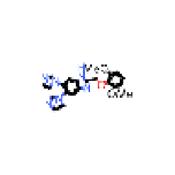 COc1cccc(OC)c1OCc1nc2cc(-n3ccnc3)c(-n3ccnc3)cc2[nH]1